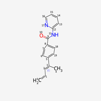 C=C/C=C(\C)c1ccc(C(=O)Nc2ccccn2)cc1